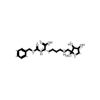 O=C(N[C@@H](CCCCNCC1(O)OCC(O)C1O)C(=O)O)OCc1ccccc1